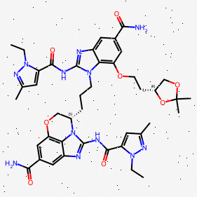 CCn1nc(C)cc1C(=O)Nc1nc2cc(C(N)=O)cc(OCC[C@@H]3COC(C)(C)O3)c2n1CCC[C@H]1COc2cc(C(N)=O)cc3nc(NC(=O)c4cc(C)nn4CC)n1c23